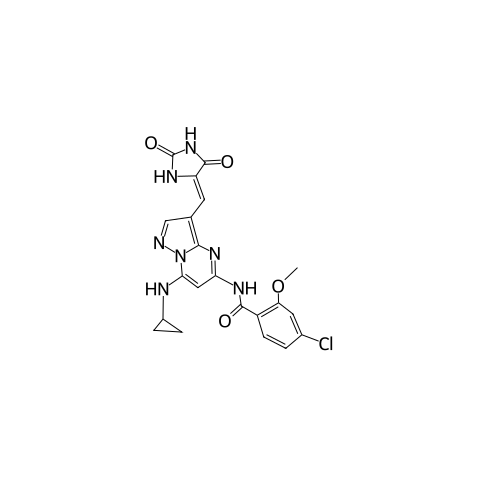 COc1cc(Cl)ccc1C(=O)Nc1cc(NC2CC2)n2ncc(/C=C3\NC(=O)NC3=O)c2n1